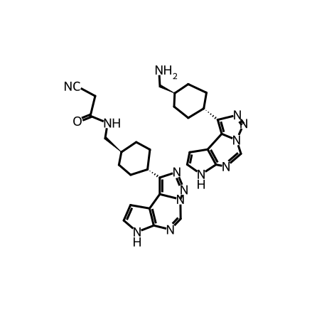 N#CCC(=O)NC[C@H]1CC[C@H](c2nnn3cnc4[nH]ccc4c23)CC1.NC[C@H]1CC[C@H](c2nnn3cnc4[nH]ccc4c23)CC1